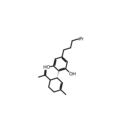 C=C(C)C1CCC(C)=C[C@H]1c1c(O)cc(CCCC(C)C)cc1O